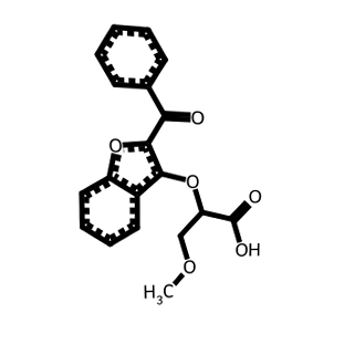 COCC(Oc1c(C(=O)c2ccccc2)oc2ccccc12)C(=O)O